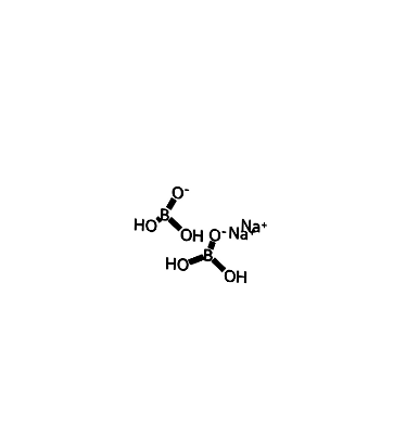 [Na+].[Na+].[O-]B(O)O.[O-]B(O)O